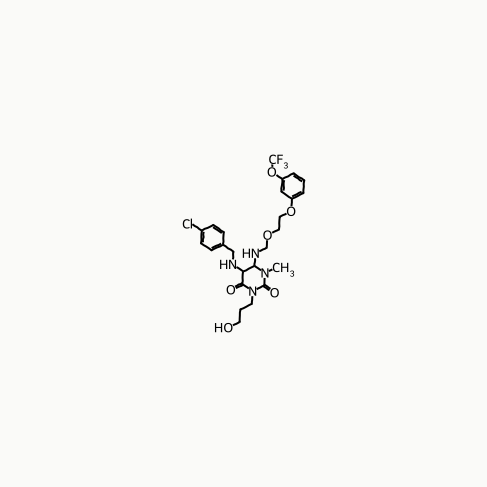 CN1C(=O)N(CCCO)C(=O)C(NCc2ccc(Cl)cc2)C1NCOCCOc1cccc(OC(F)(F)F)c1